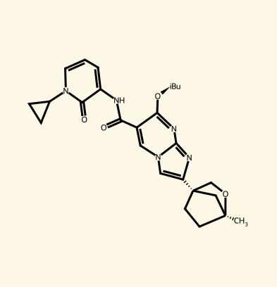 CC[C@H](C)Oc1nc2nc([C@@]34CC[C@@](C)(C3)OC4)cn2cc1C(=O)Nc1cccn(C2CC2)c1=O